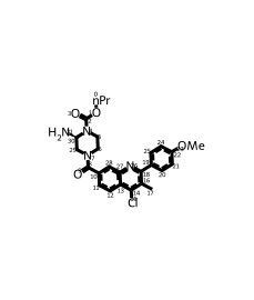 CCCOC(=O)N1CCN(C(=O)c2ccc3c(Cl)c(C)c(-c4ccc(OC)cc4)nc3c2)C[C@H]1N